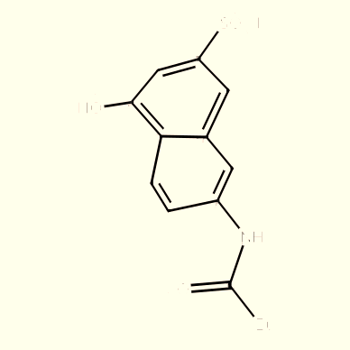 CCC(=O)Nc1ccc2c(O)cc(S(=O)(=O)O)cc2c1